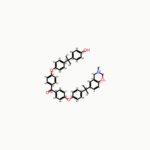 CN1COc2ccc(C(C)(C)c3ccc(Oc4ccc(C(=O)c5ccc(Oc6ccc(C(C)(C)c7ccc(O)cc7)cc6)cc5)cc4)cc3)cc2C1